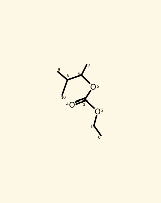 CCOC(=O)OC(C)C(C)C